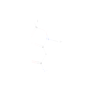 CC(=O)ON(C)C(=O)CC(N)=O